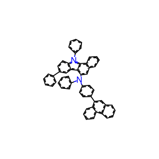 c1ccc(-c2ccc3c(c2)c2c(N(c4ccccc4)c4ccc(-c5cc6ccccc6c6ccccc56)cc4)cc4ccccc4c2n3-c2ccccc2)cc1